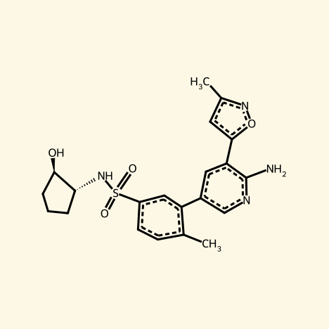 Cc1cc(-c2cc(-c3cc(S(=O)(=O)N[C@@H]4CCC[C@H]4O)ccc3C)cnc2N)on1